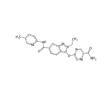 CCn1nc2cc(C(=O)Nc3ccc(C)cn3)ccc2c1Oc1cnc(C(N)=O)cn1